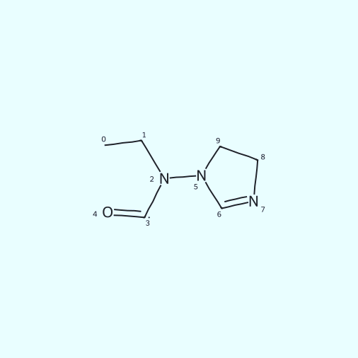 CCN([C]=O)N1C=NCC1